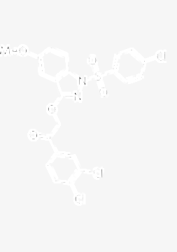 COc1ccc2c(c1)c(OCC(=O)c1ccc(Cl)c(Cl)c1)nn2S(=O)(=O)c1ccc(Cl)cc1